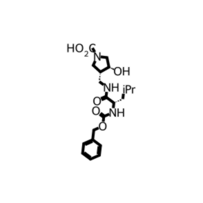 CC(C)C[C@H](NC(=O)OCc1ccccc1)C(=O)NC[C@@H]1CN(C(=O)O)C[C@@H]1O